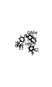 CCS(=O)(=O)N(C)[C@H]1CC[C@@H](Oc2cc3c(Nc4ccc(F)c(Cl)c4)ncnc3cc2OC)CC1